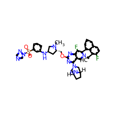 C#Cc1c(F)ccc2cccc(-c3ncc4c(N5C[C@H]6CC[C@@H](C5)N6)nc(OC[C@@H]5C[C@@H](Nc6cccc(S(=O)(=O)n7cncn7)c6)CN5C)nc4c3F)c12